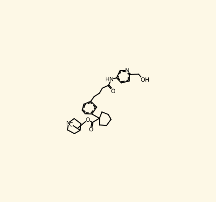 O=C(CCCc1cccc(C2(C(=O)OC3CN4CCC3CC4)CCCCC2)c1)Nc1ccc(CO)nc1